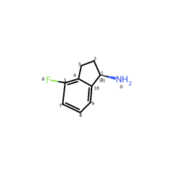 N[C@@H]1CCc2c(F)cccc21